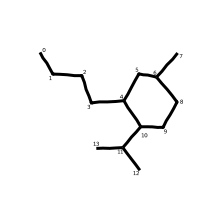 CCCCC1CC(C)CCC1C(C)C